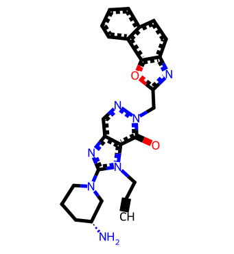 C#CCn1c(N2CCC[C@@H](N)C2)nc2cnn(Cc3nc4ccc5ccccc5c4o3)c(=O)c21